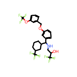 OC(CNC(c1cccc(OCc2cccc(OC(F)(F)F)c2)c1)C1CCCC(C(F)(F)F)C1)C(F)(F)F